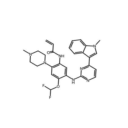 C=CC(=O)Nc1cc(Nc2nccc(-c3cn(C)c4ccccc34)n2)c(OC(F)F)cc1N1CCN(C)CC1